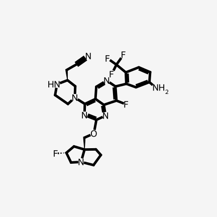 N#CC[C@H]1CN(c2nc(OC[C@@]34CCCN3C[C@H](F)C4)nc3c(F)c(-c4cc(N)ccc4C(F)(F)F)ncc23)CCN1